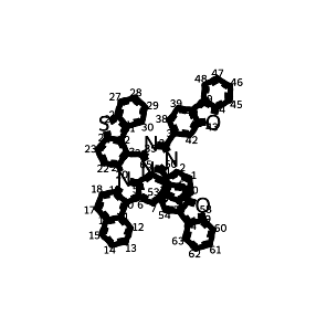 c1ccc2cc3c(cc2c1)c1c2ccccc2ccc1n3-c1ccc2sc3ccccc3c2c1-c1nc(-c2ccc3c(c2)oc2ccccc23)nc(-c2ccc3c(c2)oc2ccccc23)n1